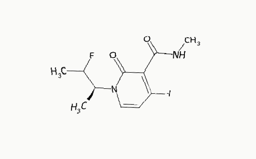 CNC(=O)c1c(I)ccn([C@@H](C)C(C)F)c1=O